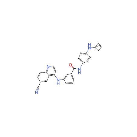 N#Cc1ccc2nccc(Nc3cccc(C(=O)Nc4ccc(NC56CC(C5)C6)cc4)c3)c2c1